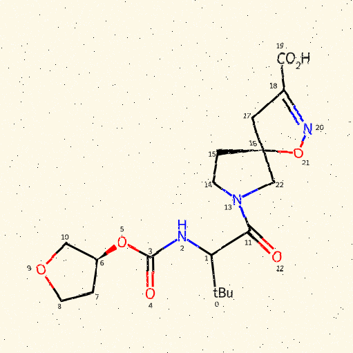 CC(C)(C)C(NC(=O)O[C@H]1CCOC1)C(=O)N1CC[C@]2(CC(C(=O)O)=NO2)C1